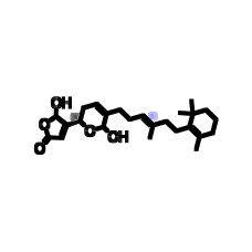 CC1=C(CC/C(C)=C/CCC2=CC[C@H](C3=CC(=O)OC3O)OC2O)C(C)(C)CCC1